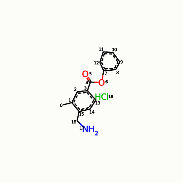 Cc1cc(C(=O)Oc2ccccc2)ccc1CN.Cl